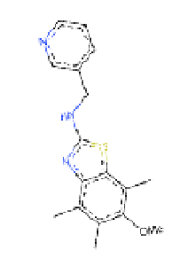 COc1c(C)c(C)c2nc(NCc3cccnc3)sc2c1C